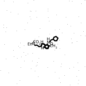 CCN(CCCc1ccc2c(NC(=O)CC3CCCCC3)c(C)ccc2n1)C(=O)O